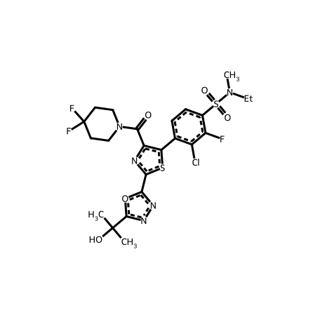 CCN(C)S(=O)(=O)c1ccc(-c2sc(-c3nnc(C(C)(C)O)o3)nc2C(=O)N2CCC(F)(F)CC2)c(Cl)c1F